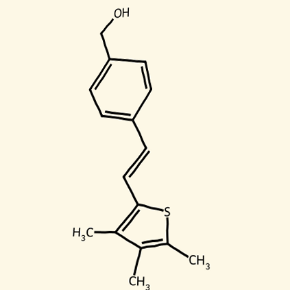 Cc1sc(/C=C/c2ccc(CO)cc2)c(C)c1C